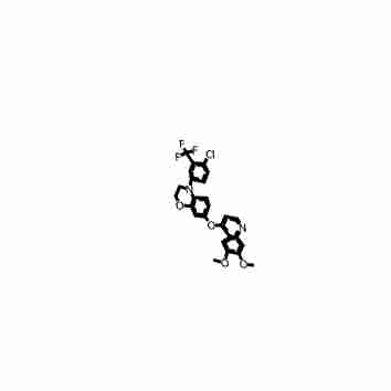 COc1cc2nccc(Oc3ccc4c(c3)OCCN4c3ccc(Cl)c(C(F)(F)F)c3)c2cc1OC